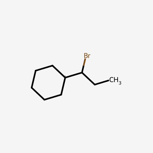 CCC(Br)[C]1CCCCC1